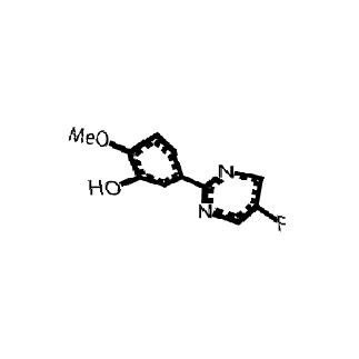 COc1ccc(-c2ncc(F)cn2)cc1O